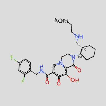 CC(=O)NCCNC[C@@H]1CCCC[C@@H]1N1CCn2cc(C(=O)NCc3ccc(F)cc3F)c(=O)c(O)c2C1=O